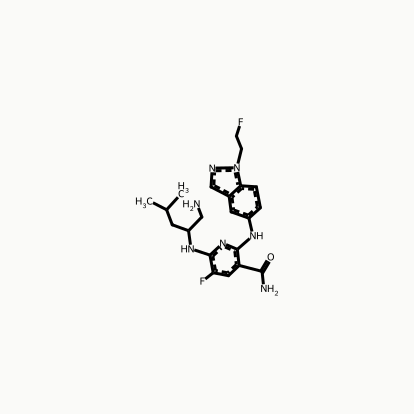 CC(C)CC(CN)Nc1nc(Nc2ccc3c(cnn3CCF)c2)c(C(N)=O)cc1F